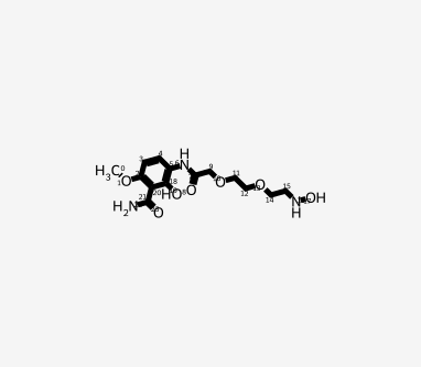 COc1ccc(NC(=O)COCCOCCNO)c(O)c1C(N)=O